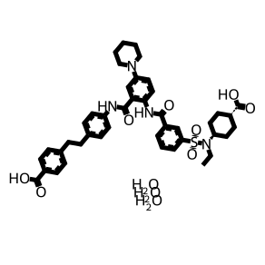 CCN([C@H]1CC[C@H](C(=O)O)CC1)S(=O)(=O)c1cccc(C(=O)Nc2ccc(N3CCCCC3)cc2C(=O)Nc2ccc(CCc3ccc(C(=O)O)cc3)cc2)c1.O.O.O